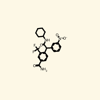 NC(=O)c1ccc(C(C(=O)NC2CCCCC2)c2cccc([N+](=O)[O-])c2)c(C(F)(F)F)c1